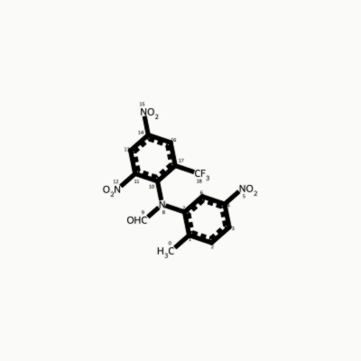 Cc1ccc([N+](=O)[O-])cc1N(C=O)c1c([N+](=O)[O-])cc([N+](=O)[O-])cc1C(F)(F)F